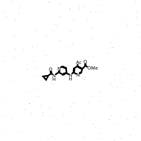 COC(=O)c1cnc(Nc2ccnc(NC(=O)C3CC3)c2)cc1C(C)=O